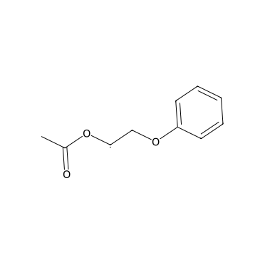 CC(=O)O[CH]COc1ccccc1